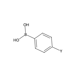 OB(O)c1cc[c]([Y])cc1